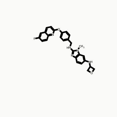 Cn1c(NCc2ccc(Oc3ccc4cc(F)ccc4n3)cc2)nc2ccc(NC3COC3)cc21